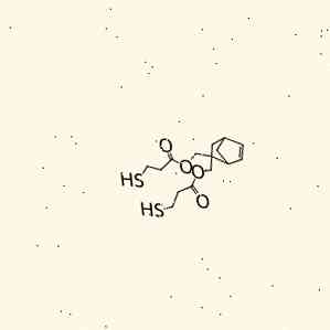 O=C(CCS)OCC1(COC(=O)CCS)CC2C=CC1C2